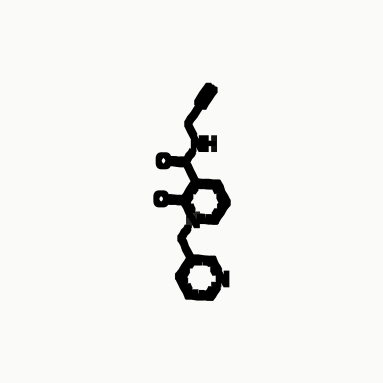 C#CCNC(=O)c1cccn(Cc2cccnc2)c1=O